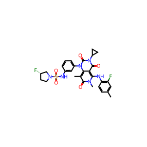 Cc1ccc(Nc2c3c(=O)n(C4CC4)c(=O)n(-c4cccc(NS(=O)(=O)N5CC[C@H](F)C5)c4)c3c(C)c(=O)n2C)c(F)c1